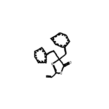 C=CC1=NC(Cc2ccccc2)(Cc2ccccc2)C(=O)O1